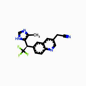 Cc1nc[nH]c1[C@@H](c1ccc2ncc(CC#N)cc2c1)C(F)(F)F